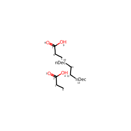 CCC(=O)O.CCC(=O)O.CCCCCCCCCCCCCCCCCCCCCC